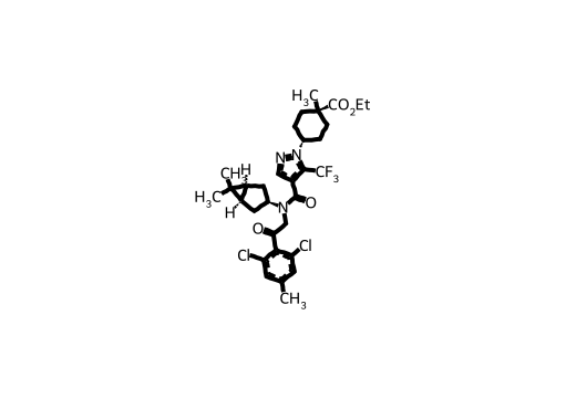 CCOC(=O)[C@]1(C)CC[C@@H](n2ncc(C(=O)N(CC(=O)c3c(Cl)cc(C)cc3Cl)[C@H]3C[C@@H]4[C@H](C3)C4(C)C)c2C(F)(F)F)CC1